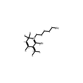 CC(=O)CCCCC[N+]1=C(C(C)C)C(=C(C)C)C(C)=CC1(C)C